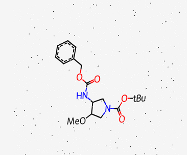 COC1CN(C(=O)OC(C)(C)C)CC1NC(=O)OCc1ccccc1